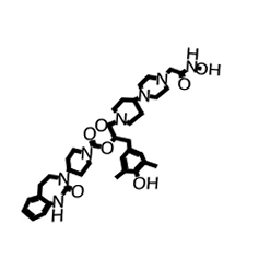 Cc1cc(CC(OC(=O)N2CCC(N3CCc4ccccc4NC3=O)CC2)C(=O)N2CCC(N3CCN(CC(=O)NO)CC3)CC2)cc(C)c1O